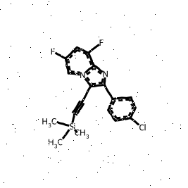 C[Si](C)(C)C#Cc1c(-c2ccc(Cl)cc2)nc2c(F)cc(F)cn12